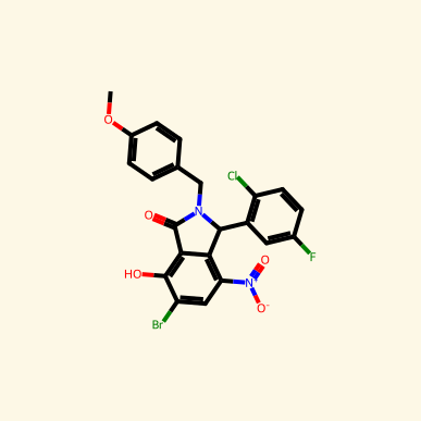 COc1ccc(CN2C(=O)c3c(O)c(Br)cc([N+](=O)[O-])c3C2c2cc(F)ccc2Cl)cc1